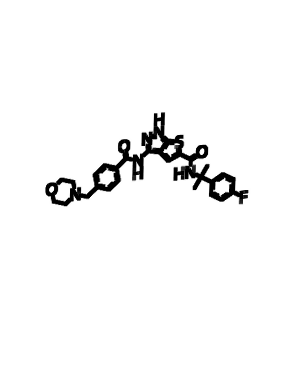 CC(C)(NC(=O)c1cc2c(NC(=O)c3ccc(CN4CCOCC4)cc3)n[nH]c2s1)c1ccc(F)cc1